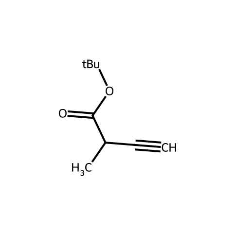 C#CC(C)C(=O)OC(C)(C)C